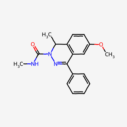 CNC(=O)N1N=C(c2ccccc2)c2cc(OC)ccc2C1C